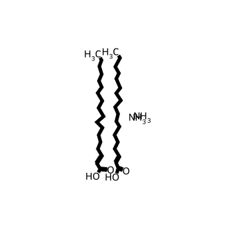 CCCCCCCCCCCCCCC/C=C/C(=O)O.CCCCCCCCCCCCCCC/C=C/C(=O)O.N.N